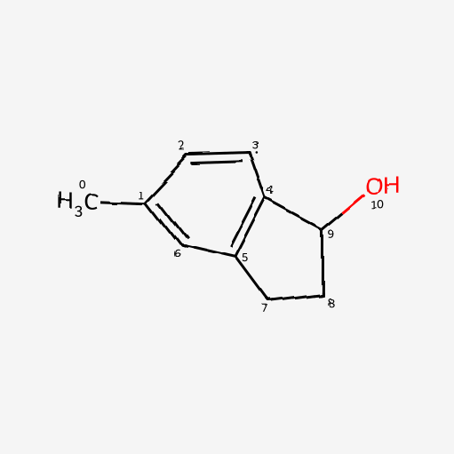 Cc1c[c]c2c(c1)CCC2O